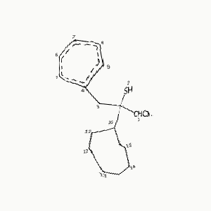 O=[C]C(S)(Cc1ccccc1)C1CCCCC1